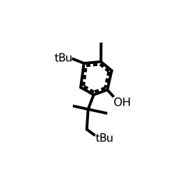 Cc1cc(O)c(C(C)(C)CC(C)(C)C)cc1C(C)(C)C